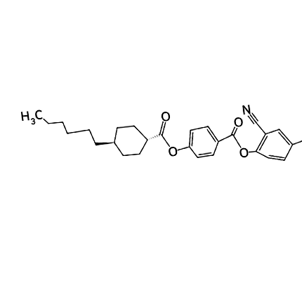 CCCCCC[C@H]1CC[C@H](C(=O)Oc2ccc(C(=O)Oc3ccc(F)cc3C#N)cc2)CC1